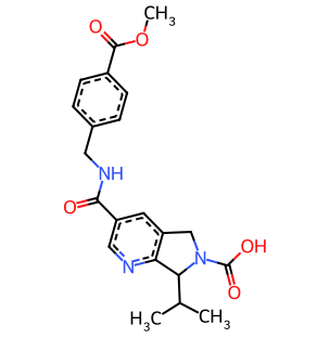 COC(=O)c1ccc(CNC(=O)c2cnc3c(c2)CN(C(=O)O)C3C(C)C)cc1